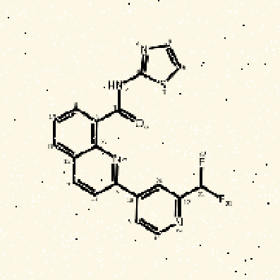 O=C(Nc1nccs1)c1cccc2ccc(-c3ccnc(C(F)F)c3)nc12